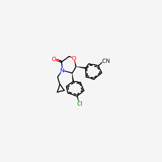 N#Cc1cccc([C@@H]2OCC(=O)N(CC3CC3)[C@@H]2c2ccc(Cl)cc2)c1